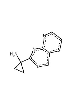 NC1(c2ncc3cccnc3n2)CC1